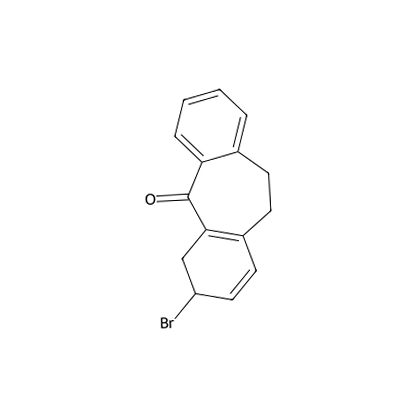 O=C1C2=C(C=CC(Br)C2)CCc2ccccc21